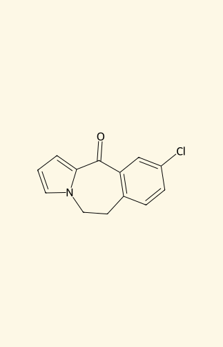 O=C1c2cc(Cl)ccc2CCn2cccc21